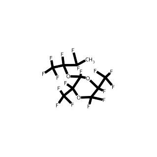 CC(F)(F)C(F)(OC1(F)OC(F)(C(F)(F)F)C(F)(F)OC1(F)C(F)(F)F)C(F)(F)F